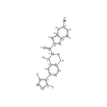 Cc1noc(C)c1-c1ccc2c(c1)C(C)N(C(=O)c1cc3ncc(Br)cn3n1)CC2